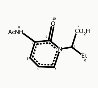 CCC(C(=O)O)n1cccc(NC(C)=O)c1=O